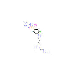 C[C@H](CN)NCCCCNc1cc(F)c(S(=O)(=O)Nc2ncns2)cc1Cl